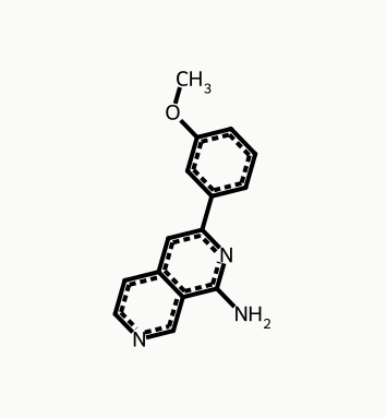 COc1cccc(-c2cc3ccncc3c(N)n2)c1